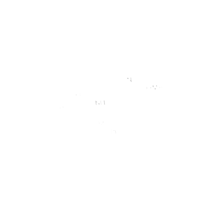 CCCOc1cccc(Cl)c1C(=O)NCc1ccc(OC)nc1